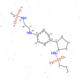 CCCS(=O)(=O)NC1CCCC1c1ccc(NCCNS(C)(=O)=O)cc1